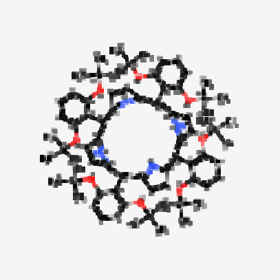 CC(C)(C)[Si](C)(C)Oc1cccc(O[Si](C)(C)C(C)(C)C)c1-c1c2nc(c(-c3c(O[Si](C)(C)C(C)(C)C)cccc3O[Si](C)(C)C(C)(C)C)c3ccc([nH]3)c(-c3c(O[Si](C)(C)C(C)(C)C)cccc3O[Si](C)(C)C(C)(C)C)c3nc(c(-c4c(O[Si](C)(C)C(C)(C)C)cccc4O[Si](C)(C)C(C)(C)C)c4ccc1[nH]4)C=C3)C=C2